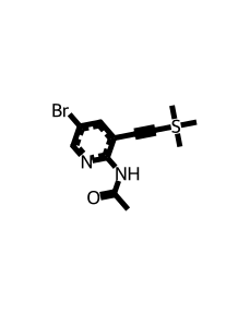 CC(=O)Nc1ncc(Br)cc1C#CS(C)(C)C